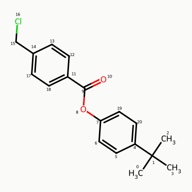 CC(C)(C)c1ccc(OC(=O)c2ccc(CCl)cc2)cc1